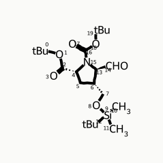 CC(C)(C)OC(=O)[C@H]1C[C@@H](CO[Si](C)(C)C(C)(C)C)[C@H](C=O)N1C(=O)OC(C)(C)C